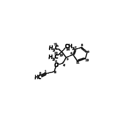 C#CCOCC(c1ccccc1)C(C)(C)C